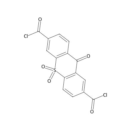 O=C(Cl)c1ccc2c(c1)C(=O)c1ccc(C(=O)Cl)cc1S2(=O)=O